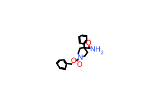 NC(=O)C1(c2ccccc2)CCN(C(=O)OCc2ccccc2)CC1